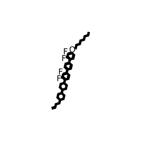 C=CCCC1CCC(C2CCC(c3ccc(-c4ccc(-c5ccc(OCCCCCCCC)c(F)c5F)cc4)c(F)c3F)CC2)CC1